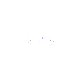 COc1c(Cl)cc(CCN2CCN(CCCc3ccccc3)CC2)cc1C(C)C.Cl.Cl